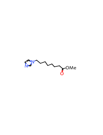 COC(=O)CCCCCCCn1ccnc1